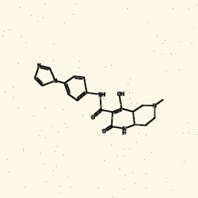 CN1CCC2NC(=O)C(C(=O)Nc3ccc(-n4ccnc4)cc3)=C(O)C2C1